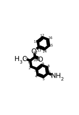 CC(Cc1ccc(N)cc1)C(=O)Oc1ccccc1